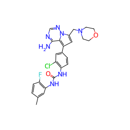 Cc1ccc(F)c(NC(=O)Nc2ccc(-c3cc(CN4CCOCC4)n4ncnc(N)c34)cc2Cl)c1